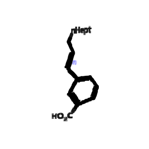 CCCCCCCC/C=C/c1cccc(C(=O)O)c1